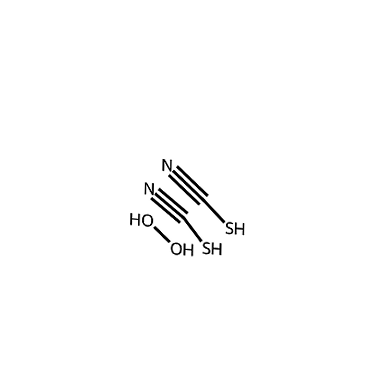 N#CS.N#CS.OO